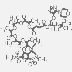 CCN(C(=O)C(C)OC(=O)C(C)OC(=O)C(C)OC(=O)C(C)OC(=O)C(C)OC(=O)CCC(=O)OC(CNC(C)(C)C)COc1nsnc1N1CCOCC1)[C@@H]1CN(C)S(=O)(=O)c2sc(S(N)(=O)=O)cc21